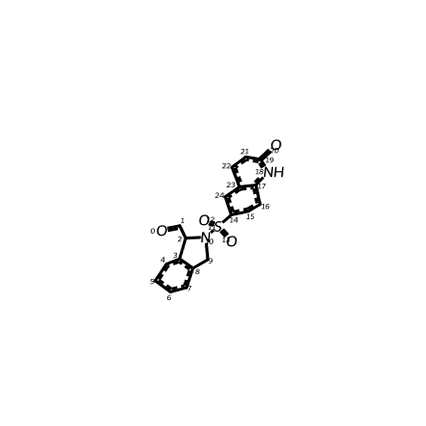 O=CC1c2ccccc2CN1S(=O)(=O)c1ccc2[nH]c(=O)ccc2c1